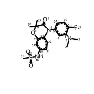 CN(C)c1cc(N2C(=O)C(C)(C)Oc3cc(NS(C)(=O)=O)ccc32)ccc1F